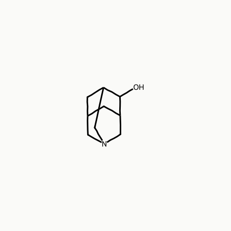 OC1C2CC3CC1CN(C3)C2